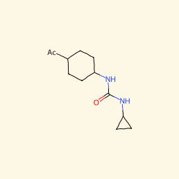 CC(=O)C1CCC(NC(=O)NC2CC2)CC1